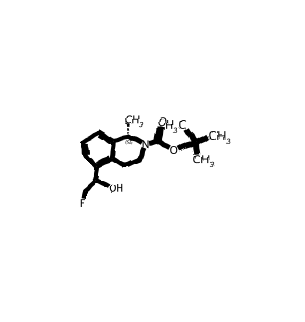 C[C@H]1c2cccc(C(O)CF)c2CCN1C(=O)OC(C)(C)C